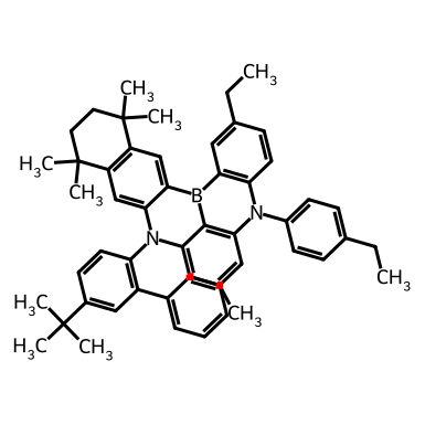 CCc1ccc(N2c3ccc(CC)cc3B3c4cc5c(cc4N(c4ccc(C(C)(C)C)cc4-c4ccccc4)c4cc(C)cc2c43)C(C)(C)CCC5(C)C)cc1